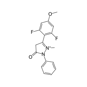 COc1cc(F)c(C2=[N+](C)N(c3ccccc3)C(=O)C2)c(F)c1